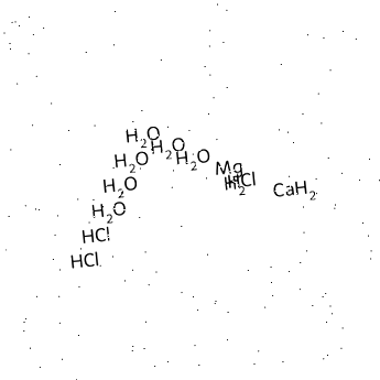 Cl.Cl.Cl.O.O.O.O.O.O.[CaH2].[MgH2]